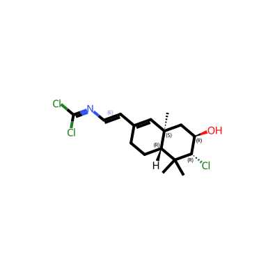 CC1(C)[C@@H](Cl)[C@H](O)C[C@]2(C)C=C(/C=C/N=C(Cl)Cl)CC[C@@H]12